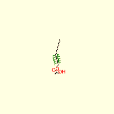 C=C(CO)C(=O)OCCC(F)(F)C(F)(F)C(F)(F)C(F)(F)CCCCCCCCC